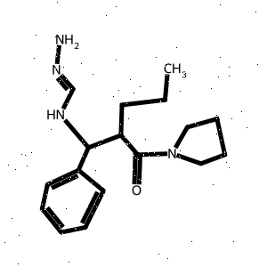 CCCC(C(=O)N1CCCC1)C(NC=NN)c1ccccc1